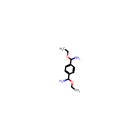 CCOC(N)c1ccc(C(N)OCC)cc1